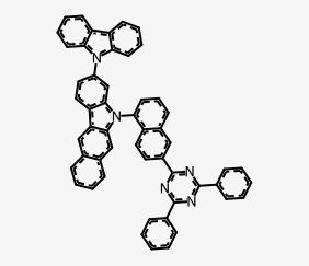 c1ccc(-c2nc(-c3ccccc3)nc(-c3ccc4c(-n5c6cc(-n7c8ccccc8c8ccccc87)ccc6c6cc7ccccc7cc65)cccc4c3)n2)cc1